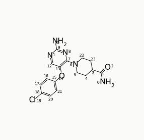 NC(=O)C1CCN(c2nc(N)ncc2Oc2ccc(Cl)cc2)CC1